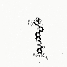 Cc1ccc(C(=O)NCc2cc3nc(-c4cccc(N5CC(C)(C)OC(C)(C)C5)n4)ccc3cn2)cc1S(C)(=O)=O